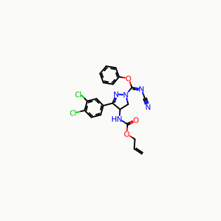 C=CCOC(=O)NC1CN(/C(=N\C#N)Oc2ccccc2)N=C1c1ccc(Cl)c(Cl)c1